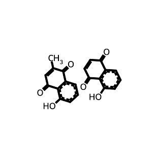 CC1=CC(=O)c2c(O)cccc2C1=O.O=C1C=CC(=O)c2c(O)cccc21